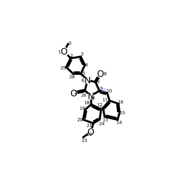 COc1ccc(N2C(=O)/C(=C/c3ccccc3)N(c3ccc(OC)cc3)C2=O)cc1